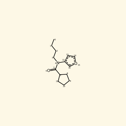 CCCCN(C(=O)C1CCCC1)c1ccoc1